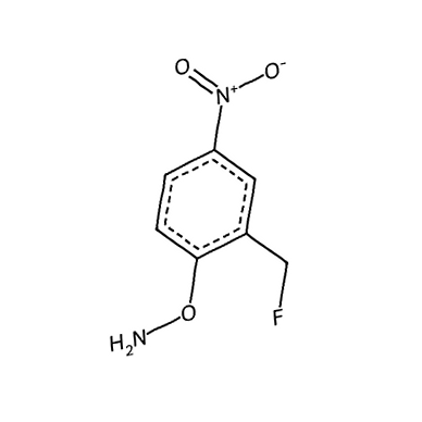 NOc1ccc([N+](=O)[O-])cc1CF